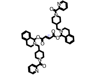 O=C(/C=C/C(=O)OC1c2ccccc2CCN1CC1CCN(C(=O)c2ccccn2)CC1)OC1c2ccccc2CCN1CC1CCN(C(=O)c2ccccn2)CC1